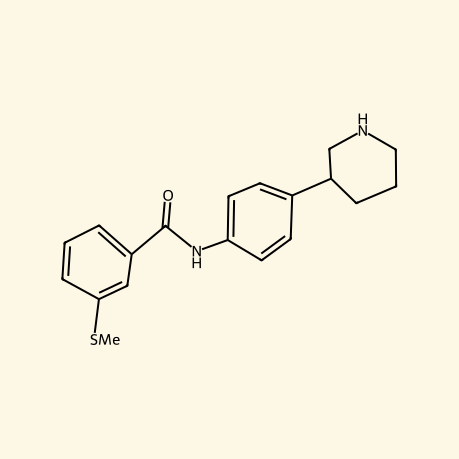 CSc1cccc(C(=O)Nc2ccc(C3CCCNC3)cc2)c1